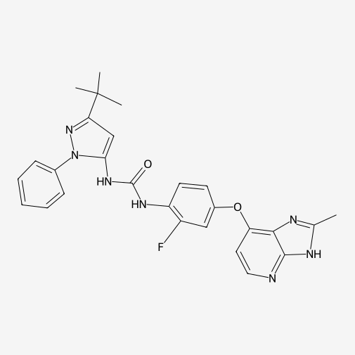 Cc1nc2c(Oc3ccc(NC(=O)Nc4cc(C(C)(C)C)nn4-c4ccccc4)c(F)c3)ccnc2[nH]1